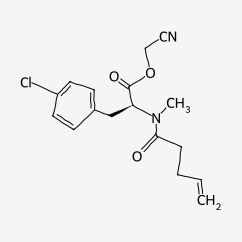 C=CCCC(=O)N(C)[C@@H](Cc1ccc(Cl)cc1)C(=O)OCC#N